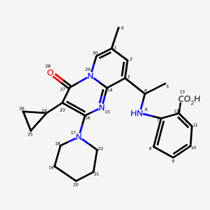 Cc1cc(C(C)Nc2ccccc2C(=O)O)c2nc(N3CCCCC3)c(C3CC3)c(=O)n2c1